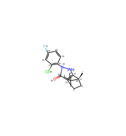 CC1(C)C2CC[C@@]1(C)c1[nH]n(-c3ccc(F)cc3Cl)c(=O)c12